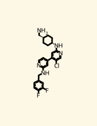 NC[C@H]1CC[C@H](Nc2cc(-c3ccnc(NCc4ccc(F)c(F)c4)c3)c(Cl)cn2)CC1